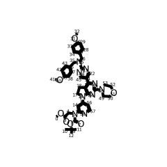 COC(=O)CN(C(=O)OC(C)(C)C)c1cc(N2CCc3c(-c4cnc(N(Cc5ccc(OC)cc5)Cc5ccc(OC)cc5)nc4)nc(N4CCOCC4)nc32)ccn1